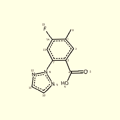 Cc1cc(C(=O)O)c(-n2nccn2)cc1F